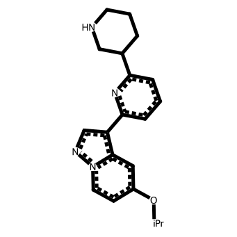 CC(C)Oc1ccn2ncc(-c3cccc(C4CCCNC4)n3)c2c1